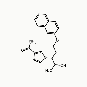 CC(O)C(CCOc1ccc2ccccc2c1)n1cnc(C(N)=O)c1